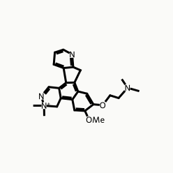 COc1cc2c3c(c4c(c2cc1OCCN(C)C)Cc1ncccc1-4)C=N[N+](C)(C)C3